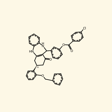 O=C1C[C@@H](c2ccccc2OCc2ccccc2)CC2=C1C(c1cccc(OC(=O)c3ccc(Cl)cc3)c1)Nc1ccccc1N2